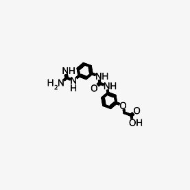 N=C(N)Nc1cccc(NC(=O)Nc2cccc(OCC(=O)O)c2)c1